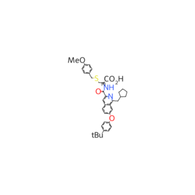 COc1ccc(CSC[C@H](NC(=O)c2cc3ccc(Oc4ccc(C(C)(C)C)cc4)cc3c(CC3CCCC3)n2)C(=O)O)cc1